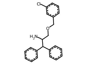 NC(COCc1cccc(Cl)c1)C(c1ccccc1)c1ccccc1